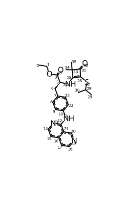 CCOC(=O)[C@H](Cc1ccc(Nc2nccc3ccncc23)cc1)NC1=C(SC(C)C)C(=O)C1(C)C